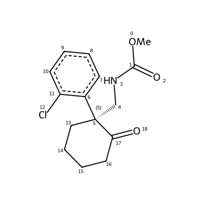 COC(=O)NC[C@@]1(c2ccccc2Cl)CCCCC1=O